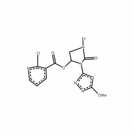 CCN1CC(OC(=O)c2cccnc2Cl)N(c2nnc(OC)s2)C1=O